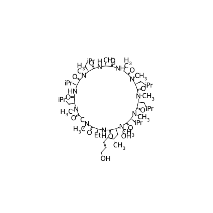 CC[C@@H]1NC(=O)[C@H]([C@H](O)[C@H](C)C/C=C/CO)N(C)C(=O)[C@H](C(C)C)N(C)C(=O)[C@H](CC(C)C)N(C)C(=O)[C@H](CC(C)C)N(C)C(=O)[C@@H](C)NC(=O)[C@H](C)NC(=O)[C@H](CC(C)C)N(C)C(=O)[C@H](C(C)C)NC(=O)[C@H](CC(C)C)N(C)C(=O)CN(C)C1=O